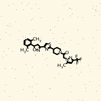 Cc1cccc(C)c1C1CC(c2csc(C3CCN(C(=O)Cn4nc(C(F)(F)F)cc4C)CC3)n2)=NO1